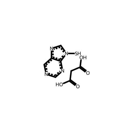 O=C(O)CC(=O)O.Sn1cnc2cncnc21